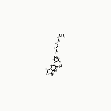 CCCCCCCCn1cc(-c2cc3c(nc2Cl)C(F)CC3)cn1